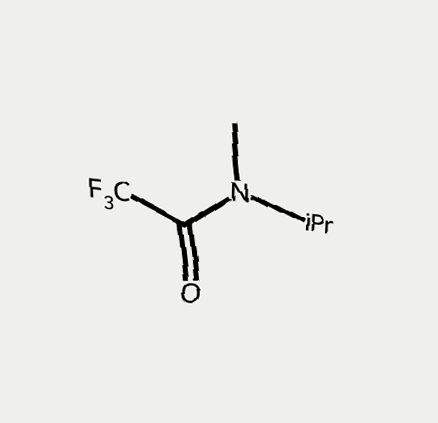 CC(C)N(C)C(=O)C(F)(F)F